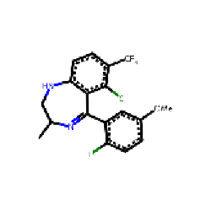 COc1ccc(F)c(C2=NC(C)CNc3ccc(C(F)(F)F)c(Cl)c32)c1